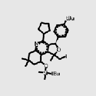 CC1(C)Cc2nc(C3CCCC3)c3c(c2C(O[Si](C)(C)C(C)(C)C)C1)C(C)(CI)O[C@@H]3c1ccc(C(C)(C)C)cc1